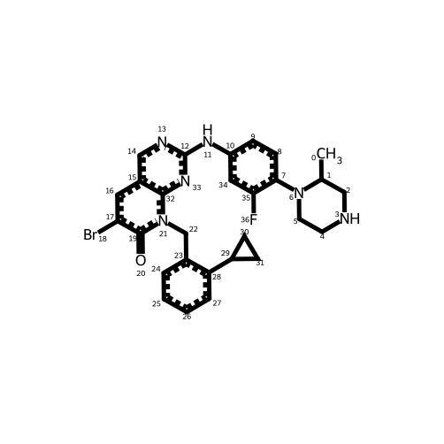 CC1CNCCN1c1ccc(Nc2ncc3cc(Br)c(=O)n(Cc4ccccc4C4CC4)c3n2)cc1F